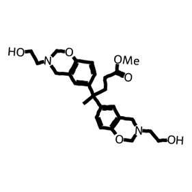 COC(=O)CCC(C)(c1ccc2c(c1)CN(CCO)CO2)c1ccc2c(c1)CN(CCO)CO2